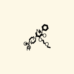 CCOCCOc1c(N2CCN([SH](=O)=O)CC2)cnn(-c2ccccc2)c1=O